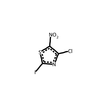 O=[N+]([O-])c1sc(I)nc1Cl